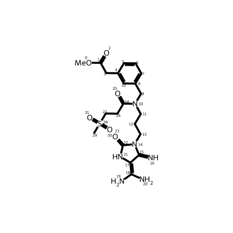 COC(=O)Cc1cccc(CN(CCCN2C(=N)C(=C(N)N)NC2=O)C(=O)CCS(C)(=O)=O)c1